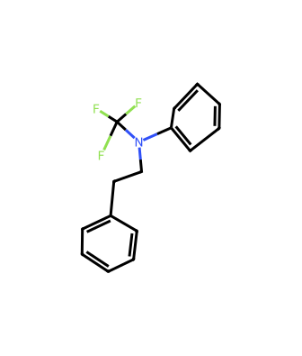 FC(F)(F)N(CCc1ccccc1)c1ccccc1